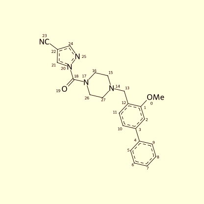 COc1cc(-c2ccccc2)ccc1CN1CCN(C(=O)n2cc(C#N)cn2)CC1